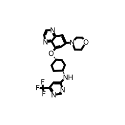 FC(F)(F)c1cc(N[C@H]2CC[C@@H](Oc3cc(N4CCOCC4)cc4nccnc34)CC2)ncn1